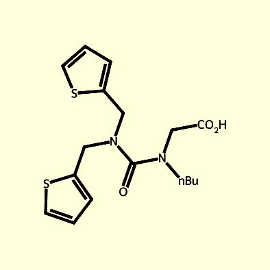 CCCCN(CC(=O)O)C(=O)N(Cc1cccs1)Cc1cccs1